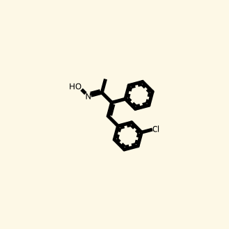 CC(=N\O)/C(=C/c1cccc(Cl)c1)c1ccccc1